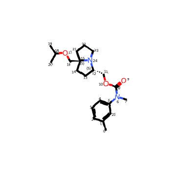 Cc1cccc(N(C)C(=O)OC[C@@H]2CC[C@]3(COC(C)C)CCCN23)c1